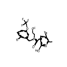 Cc1nc(O)c(C(=O)N(CCO)Cc2cc(OC(F)(F)F)ccc2F)cc1Br